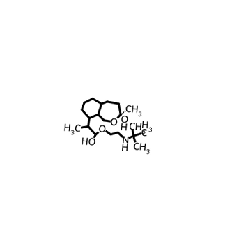 CC(C(O)OCCNC(C)(C)C)C1CCCC2CC[C@@](C)(O)OCC21